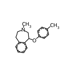 Cc1ccc(OC2CN(C)CCc3ccccc32)cc1